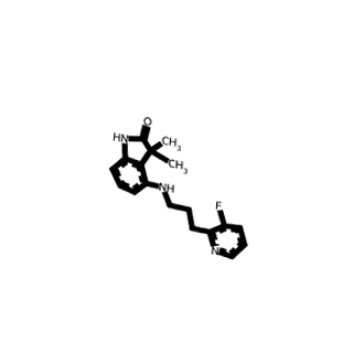 CC1(C)C(=O)Nc2cccc(NCCCc3ncccc3F)c21